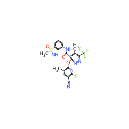 Cc1cc(C#N)c(F)nc1Oc1nnc(C(F)(F)F)c(C)c1C(=O)Nc1cccc(S(C)(=N)=O)c1